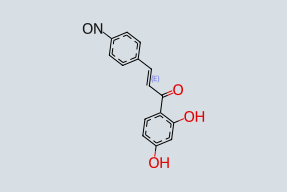 O=Nc1ccc(/C=C/C(=O)c2ccc(O)cc2O)cc1